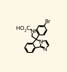 O=C(O)NCC1(c2ccc(Br)cc2)c2ccccc2-c2nccn21